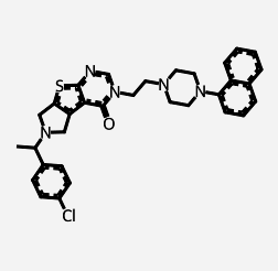 CC(c1ccc(Cl)cc1)N1Cc2sc3ncn(CCN4CCN(c5cccc6ccccc56)CC4)c(=O)c3c2C1